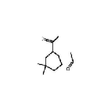 CC(=O)C1CCCC(C)(C)C1.CC=O